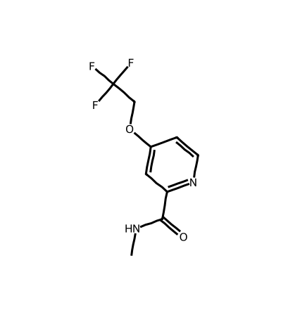 CNC(=O)c1cc(OCC(F)(F)F)ccn1